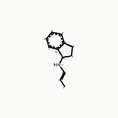 CC=CNC1CCc2ccccc21